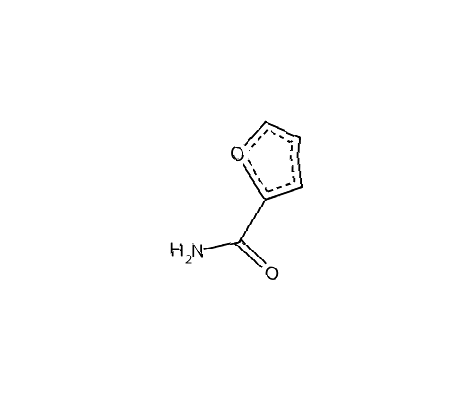 NC(=O)c1ccco1